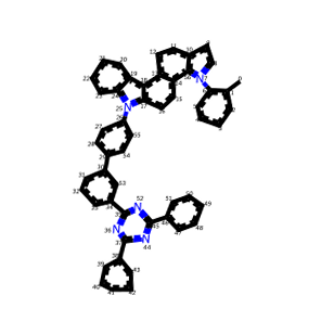 Cc1ccccc1-n1ccc2ccc3c(ccc4c3c3ccccc3n4-c3ccc(-c4cccc(-c5nc(-c6ccccc6)nc(-c6ccccc6)n5)c4)cc3)c21